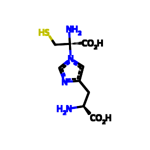 N[C@@H](Cc1cn([C@](N)(CS)C(=O)O)cn1)C(=O)O